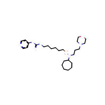 N=C(NCCCCCCS(=O)(=O)N(CCCN1CCOCC1)C1CCCCCC1)Nc1ccncc1